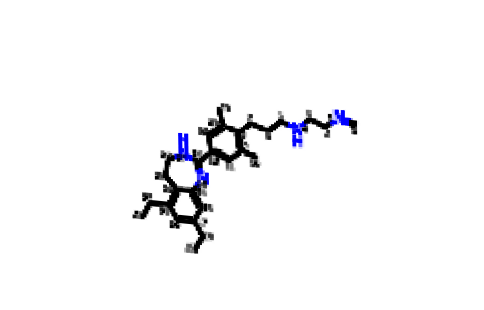 C=NCCNCCCc1c(C)cc(C2=Nc3cc(CC)cc(CC)c3CCN2)cc1C